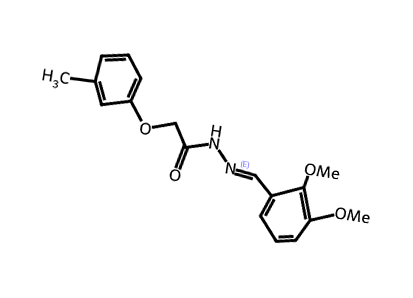 COc1cccc(/C=N/NC(=O)COc2cccc(C)c2)c1OC